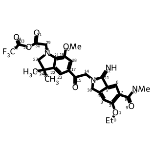 CCOc1cc2c(cc1C(=O)NC)C(=N)N(CC(=O)c1cc(OC)c3c(c1)C(C)(C)CN3CC(=O)OC(=O)C(F)(F)F)C2